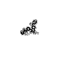 CCCN(CC1CCN(C(=O)N2CCOCC2)CC1)C(C)Cc1cccc(NC(=O)c2ccco2)c1